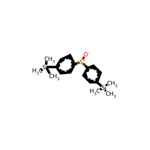 C[Si](C)(C)c1ccc([S+]([O-])c2ccc([Si](C)(C)C)cc2)cc1